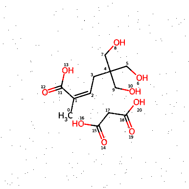 CC(=CCC(CO)(CO)CO)C(=O)O.O=C(O)CC(=O)O